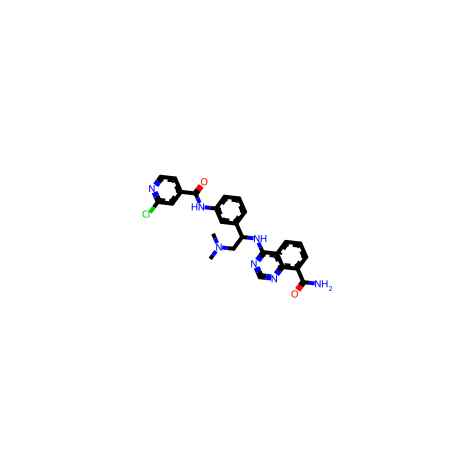 CN(C)CC(Nc1ncnc2c(C(N)=O)cccc12)c1cccc(NC(=O)c2ccnc(Cl)c2)c1